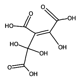 O=C(O)C(O)=C(C(=O)O)C(O)(O)C(=O)O